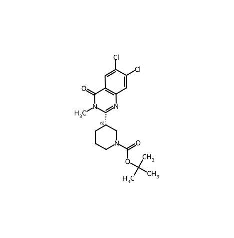 Cn1c([C@H]2CCCN(C(=O)OC(C)(C)C)C2)nc2cc(Cl)c(Cl)cc2c1=O